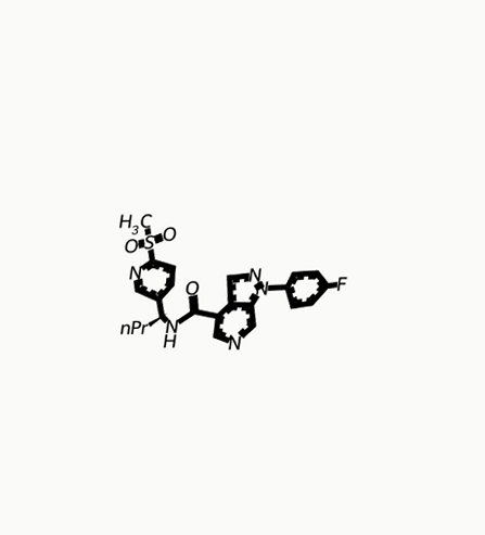 CCC[C@H](NC(=O)c1cncc2c1cnn2-c1ccc(F)cc1)c1ccc(S(C)(=O)=O)nc1